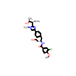 CCCOc1ccc(C(=O)N[C@H](CCO)Cc2ccc(-c3cn(C)c([C@@H](NC(C)=O)[C@H](C)O)n3)cc2)cc1Cl